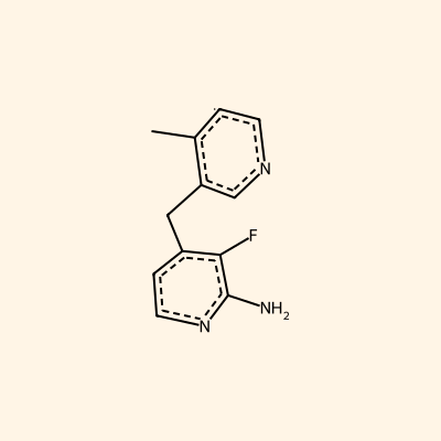 Cc1[c]cncc1Cc1ccnc(N)c1F